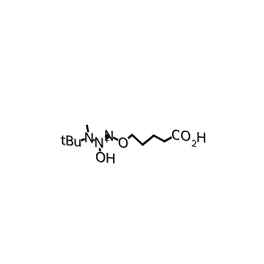 CN(/[N+](O)=N/OCCCCC(=O)O)C(C)(C)C